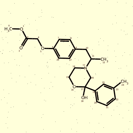 COC(=O)COc1ccc(CC(C)N2CCOC(O)(c3cccc(C)c3)C2)cc1